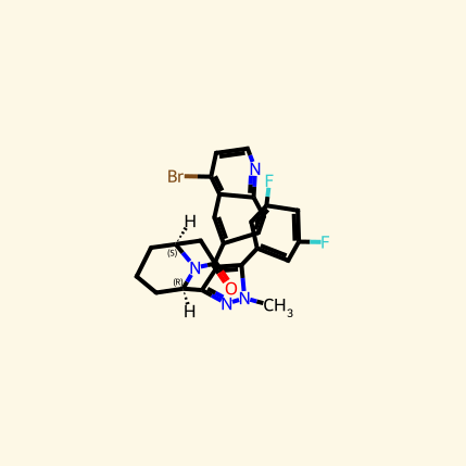 Cn1nc2c(c1-c1cc(F)cc(F)c1)C[C@@H]1CCC[C@H]2N1C(=O)c1ccc2nccc(Br)c2c1